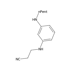 CCCCCNc1cccc(NCCC#N)c1